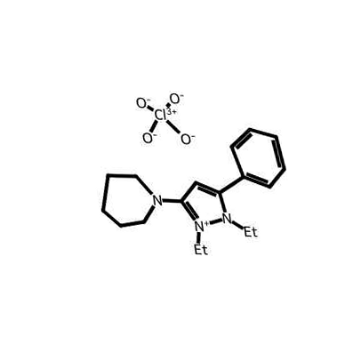 CCn1c(-c2ccccc2)cc(N2CCCCC2)[n+]1CC.[O-][Cl+3]([O-])([O-])[O-]